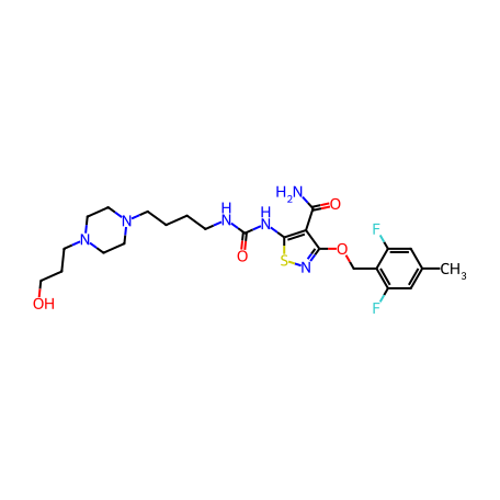 Cc1cc(F)c(COc2nsc(NC(=O)NCCCCN3CCN(CCCO)CC3)c2C(N)=O)c(F)c1